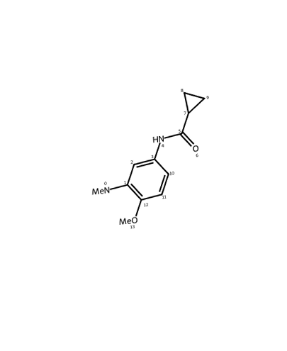 CNc1cc(NC(=O)C2CC2)ccc1OC